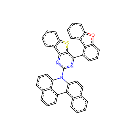 c1ccc2c3c(ccc2c1)N(c1nc(-c2cccc4oc5ccccc5c24)c2sc4ccccc4c2n1)c1cccc2cccc-3c12